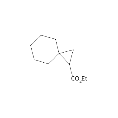 CCOC(=O)C1CC12CCCCC2